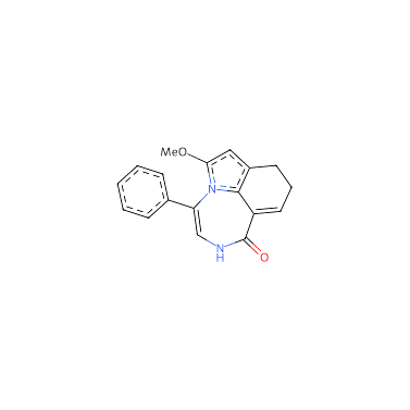 COc1cc2c3n1C(c1ccccc1)=CNC(=O)C3=CCC2